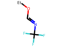 CCOC=NC(F)(F)F